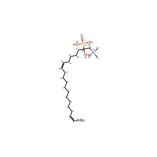 CCCC/C=C\CCCCCCCCC/C=C\CCCCC(O)(C[N+](C)(C)C)P(=O)(O)O